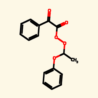 CC(OOC(=O)C(=O)c1ccccc1)Oc1ccccc1